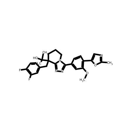 COc1cc(-c2nnc3n2CCCC3(Cc2ccc(F)c(F)c2)C(C)(C)O)ccc1-c1cnc(C)o1